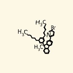 CCCCCCc1cc(CCCCCC)cc(C2(C)c3ccccc3-c3ccc(-c4ccc(Br)cn4)cc32)c1